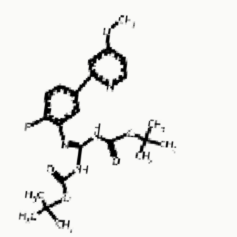 COc1ccnc(-c2ccc(F)c(N=C(NC(=O)OC(C)(C)C)NC(=O)OC(C)(C)C)c2)c1